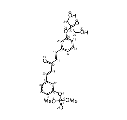 COP(=O)(OC)Oc1cccc(/C=C/C(=O)/C=C/c2cccc(OP(=O)(CO)CO)c2)c1